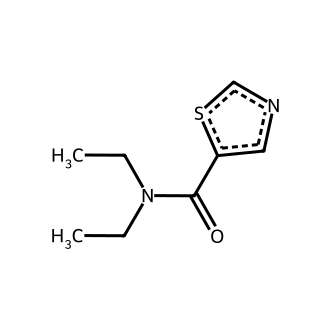 CCN(CC)C(=O)c1cncs1